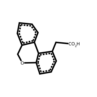 O=C(O)Cc1cccc2c1-c1ccccc1CO2